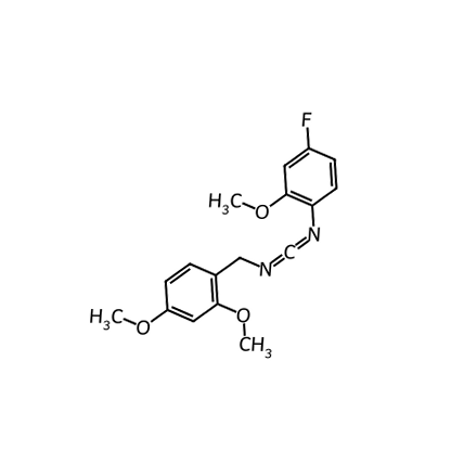 COc1ccc(CN=C=Nc2ccc(F)cc2OC)c(OC)c1